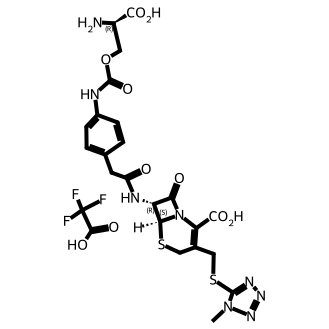 Cn1nnnc1SCC1=C(C(=O)O)N2C(=O)[C@@H](NC(=O)Cc3ccc(NC(=O)OC[C@@H](N)C(=O)O)cc3)[C@@H]2SC1.O=C(O)C(F)(F)F